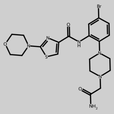 NC(=O)CN1CCN(c2ccc(Br)cc2NC(=O)c2csc(N3CCOCC3)n2)CC1